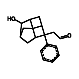 O=CCC1(c2ccccc2)C2CC3CC24C(CC14)C3O